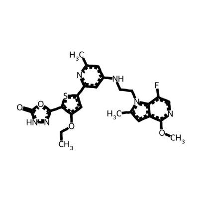 CCOc1cc(-c2cc(NCCn3c(C)cc4c(OC)ncc(F)c43)cc(C)n2)sc1-c1n[nH]c(=O)o1